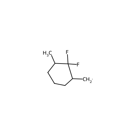 [CH2]C1CCCC(C)C1(F)F